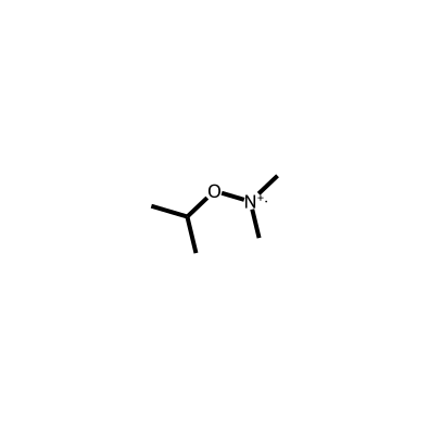 CC(C)O[N+](C)C